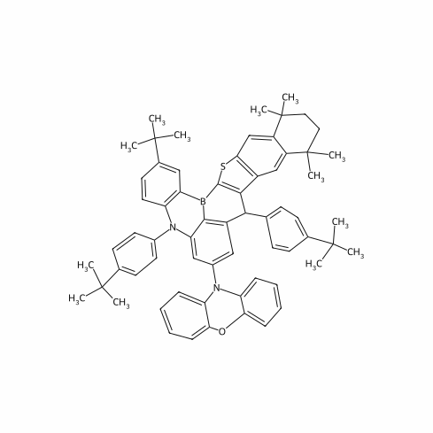 CC(C)(C)c1ccc(C2c3cc(N4c5ccccc5Oc5ccccc54)cc4c3B(c3cc(C(C)(C)C)ccc3N4c3ccc(C(C)(C)C)cc3)c3sc4cc5c(cc4c32)C(C)(C)CCC5(C)C)cc1